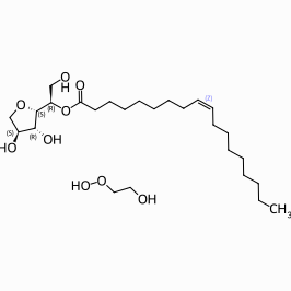 CCCCCCCC/C=C\CCCCCCCC(=O)O[C@H](CO)[C@H]1OC[C@H](O)[C@H]1O.OCCOO